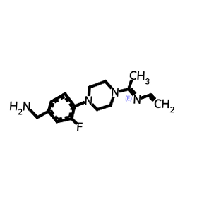 C=C/N=C(\C)N1CCN(c2ccc(CN)cc2F)CC1